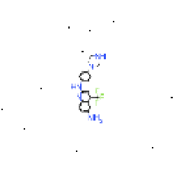 Nc1ccc2nc(Nc3ccc(N4CCNCC4)cc3)cc(C(F)(F)F)c2c1